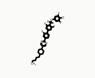 CCCCCC1CCC(c2cnc(-c3ccc(-c4cc(F)c(C(F)(F)Oc5cc(F)c(Cl)c(F)c5)c(F)c4)c(F)c3)nc2)CC1